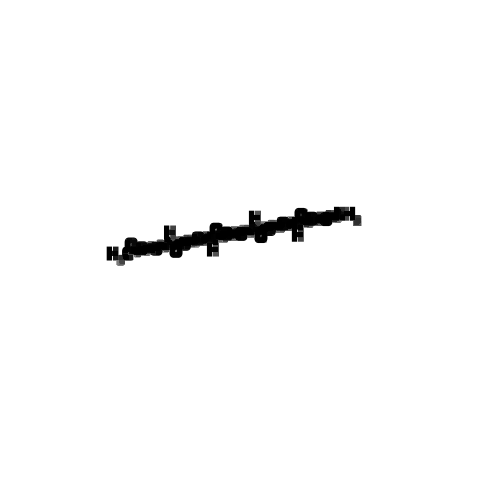 CC(=O)COCCOCCNC(=O)COCCOCCNC(=O)COCCOCCNC(=O)COCCOCCNC(=O)COCCOCCN